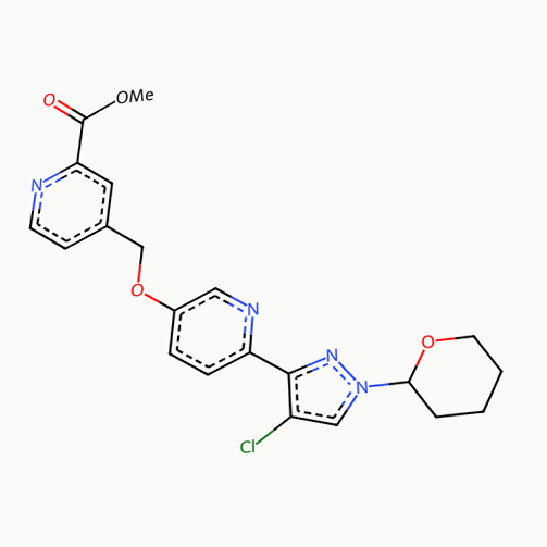 COC(=O)c1cc(COc2ccc(-c3nn(C4CCCCO4)cc3Cl)nc2)ccn1